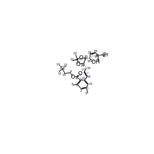 Cc1cc(C)c(C(=O)OCC[Si](C)(C)C)c(/C=C/C[C@@H]2OC(C)(C)O[C@@H]2C(O)/C=C\[C@H](C)C(C)C)c1